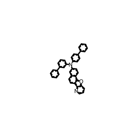 c1ccc(-c2ccc(N(c3cccc(-c4ccccc4)c3)c3ccc4c(ccc5c6ncccc6oc45)c3)cc2)cc1